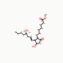 CCCC[C@@](C)(O)C/C=C/C1C(O)CC(=O)C1CCCCCCC(=O)OC